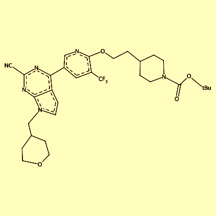 CC(C)(C)OC(=O)N1CCC(CCOc2ncc(-c3nc(C#N)nc4c3ccn4CC3CCOCC3)cc2C(F)(F)F)CC1